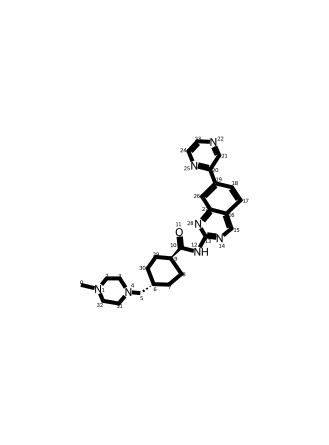 CN1CCN(C[C@H]2CC[C@H](C(=O)Nc3ncc4ccc(-c5cnccn5)cc4n3)CC2)CC1